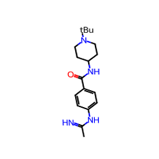 CC(=N)Nc1ccc(C(=O)NC2CCN(C(C)(C)C)CC2)cc1